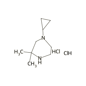 CC1(C)CN(C2CC2)CCN1.Cl.Cl